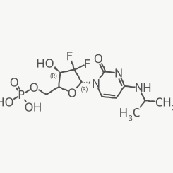 CC(C)Nc1ccn([C@@H]2OC(COP(=O)(O)O)[C@@H](O)C2(F)F)c(=O)n1